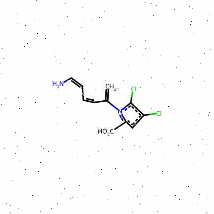 C=C(/C=C\C=C/N)n1c(C(=O)O)cc(Cl)c1Cl